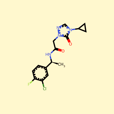 C[C@H](NC(=O)Cn1ncn(C2CC2)c1=O)c1ccc(F)c(Cl)c1